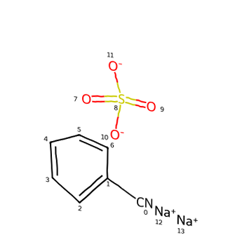 N#Cc1ccccc1.O=S(=O)([O-])[O-].[Na+].[Na+]